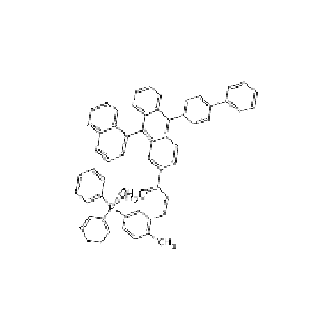 C=C(/C=C\c1cc(P(=O)(C2=CCCC=C2)c2ccccc2)ccc1C)c1ccc2c(-c3ccc(-c4ccccc4)cc3)c3ccccc3c(-c3cccc4ccccc34)c2c1